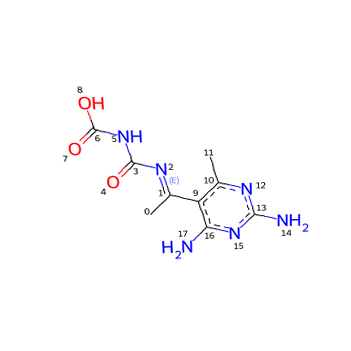 C/C(=N\C(=O)NC(=O)O)c1c(C)nc(N)nc1N